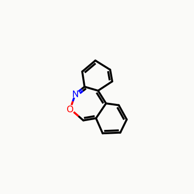 C1=c2ccccc2=c2ccccc2=NO1